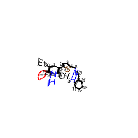 CCc1cc(-c2ccc(CNCC3CCCCC3)s2)c(C)[nH]c1=O